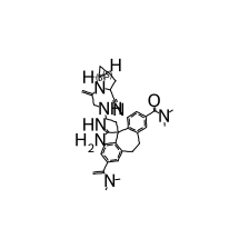 C=C(c1ccc2c(c1)CCc1cc(C(=O)N(C)C)ccc1C2(CCNCC(=C)N1C(C#N)C[C@@H]2C[C@@H]21)C(=N)N)N(C)C